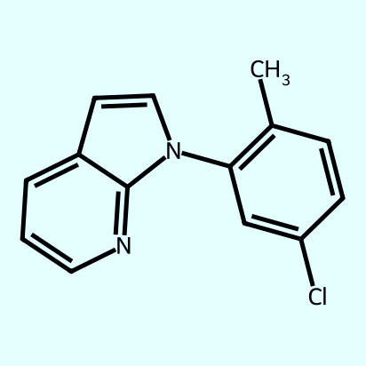 Cc1ccc(Cl)cc1-n1ccc2cccnc21